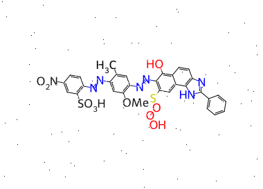 COc1cc(/N=N/c2ccc([N+](=O)[O-])cc2S(=O)(=O)O)c(C)cc1/N=N/c1c(SOOO)cc2c(ccc3nc(-c4ccccc4)[nH]c32)c1O